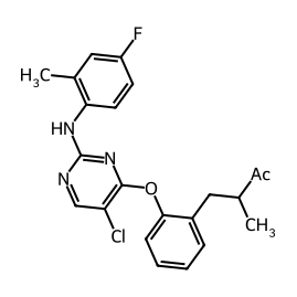 CC(=O)C(C)Cc1ccccc1Oc1nc(Nc2ccc(F)cc2C)ncc1Cl